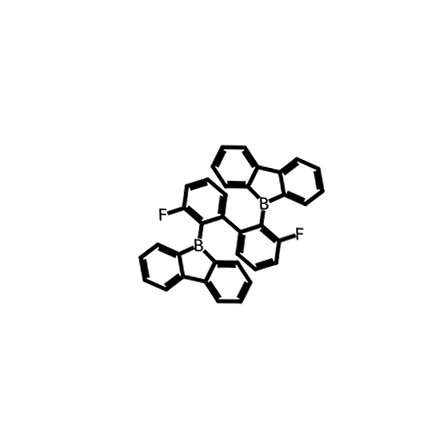 Fc1cccc(-c2cccc(F)c2B2c3ccccc3-c3ccccc32)c1B1c2ccccc2-c2ccccc21